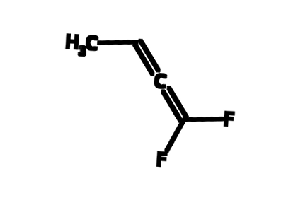 CC=C=C(F)F